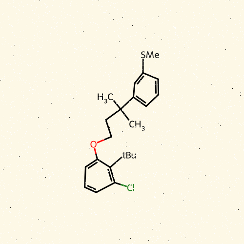 CSc1cccc(C(C)(C)CCOc2cccc(Cl)c2C(C)(C)C)c1